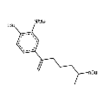 C=C(CCCC(C)CCCC)c1ccc(C(C)(C)C)c(NC)c1